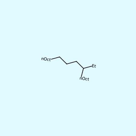 [CH2]CCCCCCCCCCC(CC)CCCCCCC[CH2]